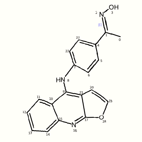 C/C(=N\O)c1ccc(Nc2c3ccccc3nc3occc23)cc1